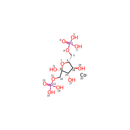 O=P(O)(O)OC[C@H]1O[C@](O)(COP(=O)(O)O)[C@@H](O)[C@@H]1O.[Co]